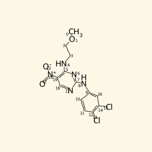 COCCNc1nc(Nc2ccc(Cl)c(Cl)c2)ncc1[N+](=O)[O-]